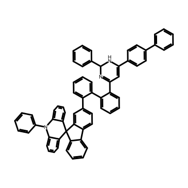 C1=C(c2ccc(-c3ccccc3)cc2)NC(c2ccccc2)N=C1c1ccccc1-c1ccccc1-c1ccc2c(c1)C1(c3ccccc3-2)c2ccccc2N(c2ccccc2)c2ccccc21